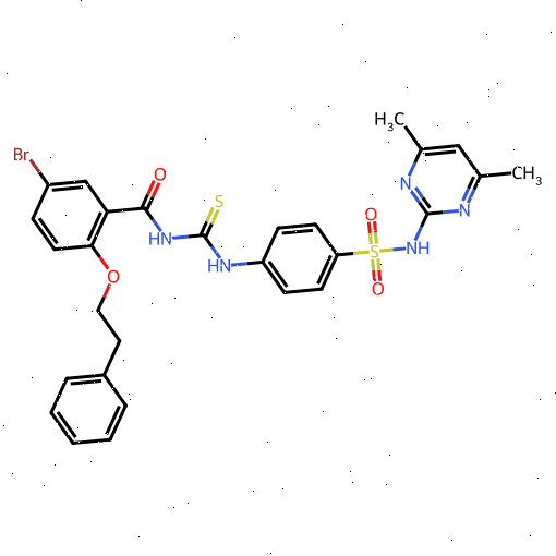 Cc1cc(C)nc(NS(=O)(=O)c2ccc(NC(=S)NC(=O)c3cc(Br)ccc3OCCc3ccccc3)cc2)n1